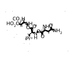 CC(C)C[C@H](NOC(=O)[C@@H](N)CC(N)=O)C(=O)ON[C@@H](CC(=O)O)C(=O)O